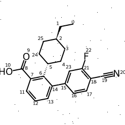 CC[C@H]1CC[C@H](c2c(C(=O)O)cccc2-c2ccc(C#N)c(F)c2)CC1